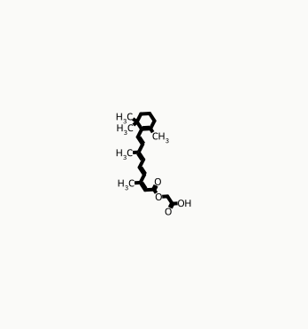 CC1=C(/C=C/C(C)=C/C=C/C(C)=C\C(=O)OCC(=O)O)C(C)(C)CCC1